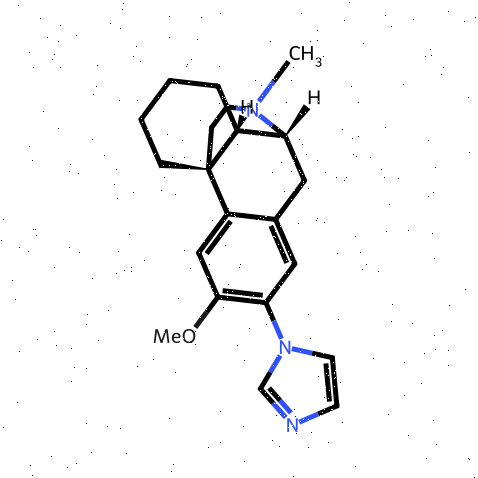 COc1cc2c(cc1-n1ccnc1)C[C@@H]1[C@H]3CCCC[C@]23CCN1C